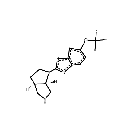 FC(F)(F)Oc1ccc2nc(N3CC[C@@H]4CNC[C@@H]43)[nH]c2c1